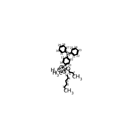 CCCCCC[C@@H](CC)O[Si](OC)(OC)c1ccc(P(c2ccccc2)c2ccccc2)cc1